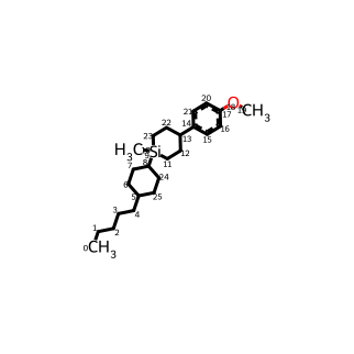 CCCCCC1CCC([Si]2(C)CCC(c3ccc(OC)cc3)CC2)CC1